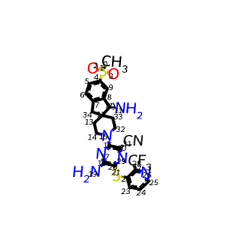 CS(=O)(=O)c1ccc2c(c1)[C@@H](N)C1(CCN(c3nc(N)c(Sc4cccnc4C(F)(F)F)nc3C#N)CC1)C2